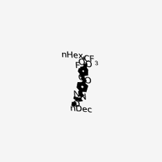 CCCCCCCCCCCOc1cnc(-c2ccc(C(=O)Oc3ccc(C(=O)OC(CCCCCC)C(F)(F)F)c(F)c3)cc2)nc1